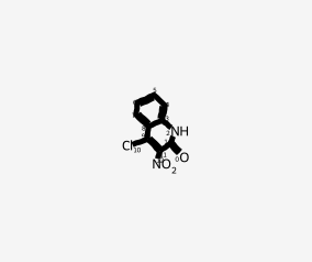 O=c1[nH]c2ccccc2c(Cl)c1[N+](=O)[O-]